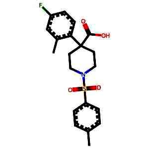 Cc1ccc(S(=O)(=O)N2CCC(C(=O)O)(c3ccc(F)cc3C)CC2)cc1